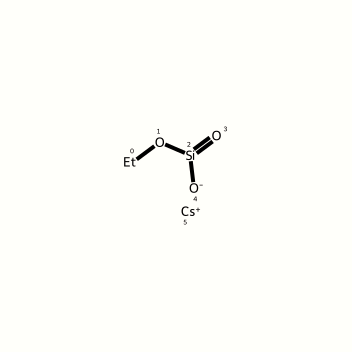 CCO[Si](=O)[O-].[Cs+]